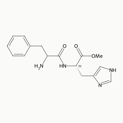 COC(=O)[C@H](Cc1c[nH]cn1)NC(=O)C(N)Cc1ccccc1